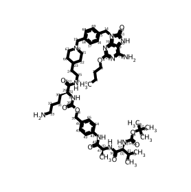 CCCCOc1nc(N)c2[nH]c(=O)n(Cc3ccc(CN4CCC(CCNC(=O)[C@H](CCCCN)NC(=O)OCc5ccc(NC(=O)[C@H](C)NC(=O)[C@@H](NC(=O)OC(C)(C)C)C(C)C)cc5)CC4)cc3)c2n1